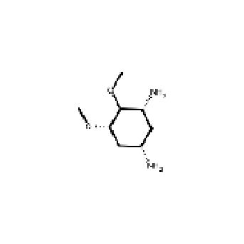 COC1[C@H](N)C[C@H](N)C[C@@H]1OC